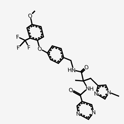 COc1ccc(Oc2ccc(CNC(=O)C(C)(Cc3cn(C)cn3)NC(=O)c3cncnc3)cc2)c(C(F)(F)F)c1